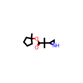 CC1(OC(=O)C(C)(C)C2CN2)CCCC1